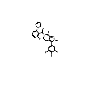 C[C@H]1c2nn(C)c(-c3cc(F)c(F)c(F)c3)c2CCN1C(=O)c1c(F)cccc1-n1cccn1